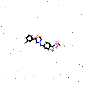 C[C@@H](NS(C)(=O)=O)c1ccc(CN2CCOC(c3cccc(F)c3)C2)cc1